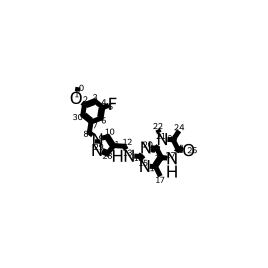 COc1cc(F)cc(Cn2cc(CNc3nc(C)c4c(n3)N(C)C(C)C(=O)N4)cn2)c1